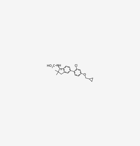 CC1(C)Cc2cc(-c3ccc(OCC4CC4)cc3Cl)ccc2[C@@H]1NC(=O)O